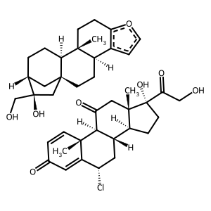 C[C@@]12CCc3occc3[C@H]1CC[C@@]13C[C@@H](CC[C@H]12)[C@@](O)(CO)C3.C[C@]12C=CC(=O)C=C1[C@@H](Cl)C[C@@H]1[C@@H]2C(=O)C[C@@]2(C)[C@H]1CC[C@]2(O)C(=O)CO